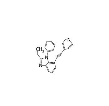 CCc1nc2cccc(C#Cc3ccncc3)c2n1-c1ccccc1